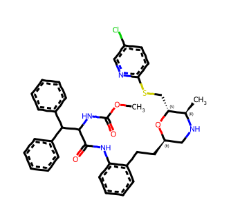 COC(=O)NC(C(=O)Nc1ccccc1CC[C@@H]1CN[C@H](C)[C@@H](CSc2ccc(Cl)cn2)O1)C(c1ccccc1)c1ccccc1